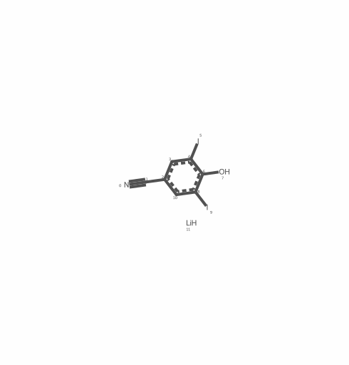 N#Cc1cc(I)c(O)c(I)c1.[LiH]